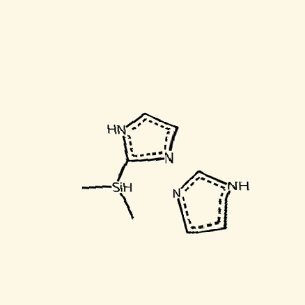 C[SiH](C)c1ncc[nH]1.c1c[nH]cn1